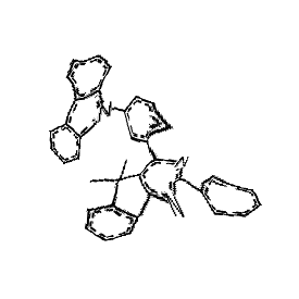 CC1(C)c2ccccc2-c2nc(-c3ccccc3)nc(-c3cccc(-n4c5ccccc5c5ccccc54)c3)c21